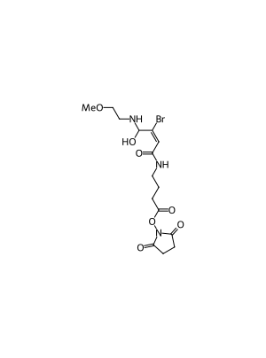 COCCNC(O)/C(Br)=C\C(=O)NCCCC(=O)ON1C(=O)CCC1=O